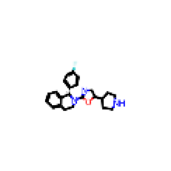 Fc1ccc([C@H]2c3ccccc3CCN2C2=NCC(C3CCNCC3)O2)cc1